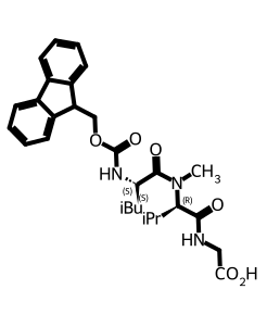 CC[C@H](C)[C@H](NC(=O)OCC1c2ccccc2-c2ccccc21)C(=O)N(C)[C@@H](C(=O)NCC(=O)O)C(C)C